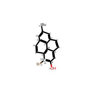 CC(C)(C)c1cc2ccc3cc(O)[13c](Br)c4ccc(c1)c2c34